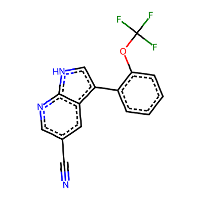 N#Cc1cnc2[nH]cc(-c3ccccc3OC(F)(F)F)c2c1